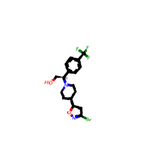 OC[C@@H](c1ccc(C(F)(F)F)cc1)N1CCC(C2CC(Br)=NO2)CC1